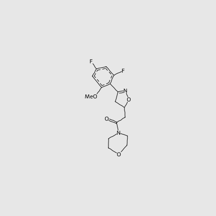 COc1cc(F)cc(F)c1C1=NOC(CC(=O)N2CCOCC2)C1